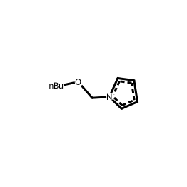 CCCCOCn1cccc1